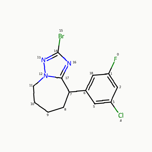 Fc1cc(Cl)cc(C2CCCCn3nc(Br)nc32)c1